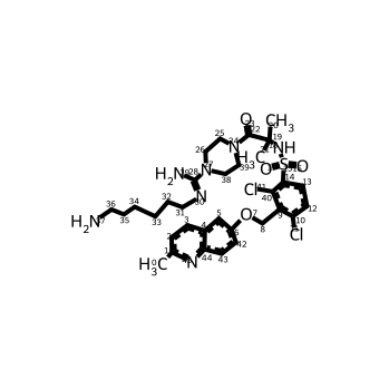 Cc1ccc2cc(OCc3c(Cl)ccc(S(=O)(=O)NC(C)(C)C(=O)N4CCN(C(N)=NCCCCCCN)CC4)c3Cl)ccc2n1